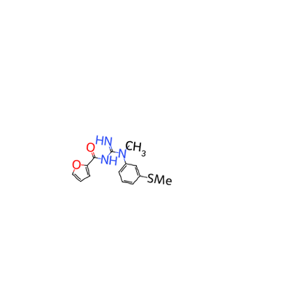 CSc1cccc(N(C)C(=N)NC(=O)c2ccco2)c1